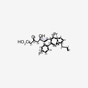 C=CCc1ccc2c(C(C)C)c(/C=C/C(O)CC(=O)CC(=O)O)c(-c3ccc(F)cc3)nn12